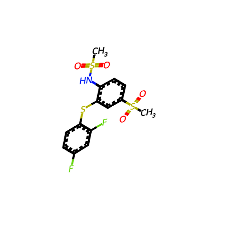 CS(=O)(=O)Nc1ccc(S(C)(=O)=O)cc1Sc1ccc(F)cc1F